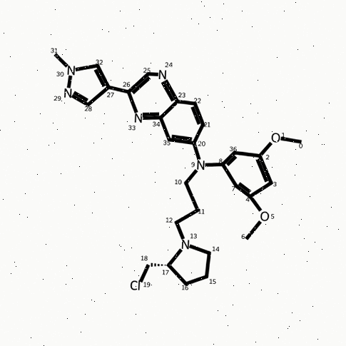 COc1cc(OC)cc(N(CCCN2CCC[C@@H]2CCl)c2ccc3ncc(-c4cnn(C)c4)nc3c2)c1